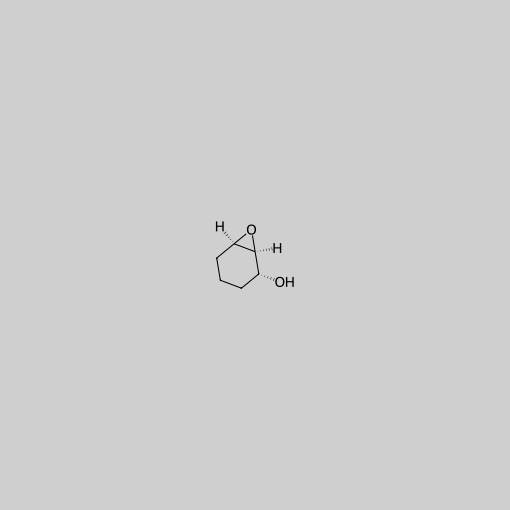 O[C@@H]1CCC[C@H]2O[C@@H]12